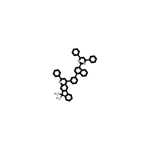 CC1(C)c2ccccc2-c2cc3c(-c4cccc(-c5ccc(-c6nc(-c7ccccc7)cc(-c7ccccc7)n6)c6ccccc56)c4)cc(-c4ccccc4)nc3cc21